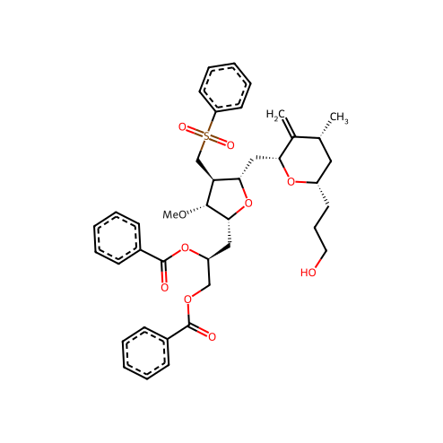 C=C1[C@H](C)C[C@H](CCCO)O[C@@H]1C[C@@H]1O[C@H](C[C@@H](COC(=O)c2ccccc2)OC(=O)c2ccccc2)[C@H](OC)[C@H]1CS(=O)(=O)c1ccccc1